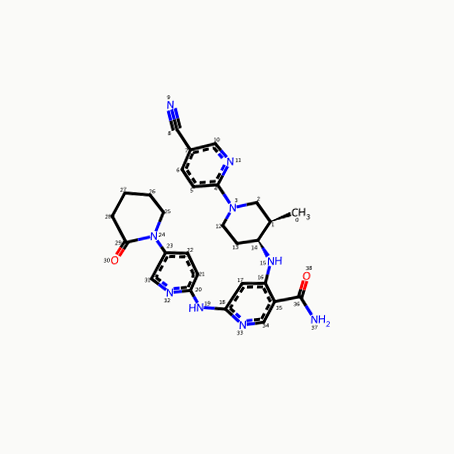 C[C@@H]1CN(c2ccc(C#N)cn2)CC[C@@H]1Nc1cc(Nc2ccc(N3CCCCC3=O)cn2)ncc1C(N)=O